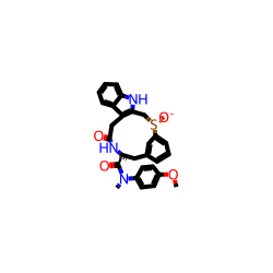 COc1ccc(N(C)C(=O)[C@@H]2Cc3cccc(c3)[S+]([O-])Cc3[nH]c4ccccc4c3CC(=O)N2)cc1